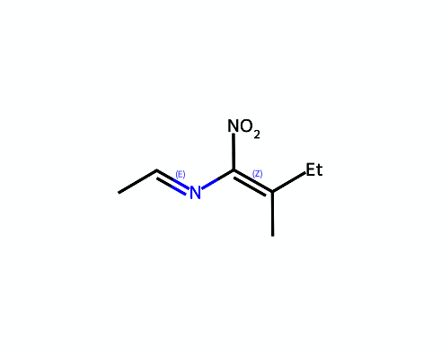 C/C=N/C(=C(\C)CC)[N+](=O)[O-]